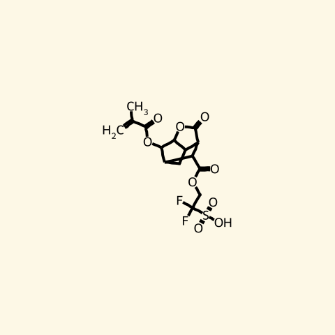 C=C(C)C(=O)OC1C2CC3C1OC(=O)C3C2C(=O)OCC(F)(F)S(=O)(=O)O